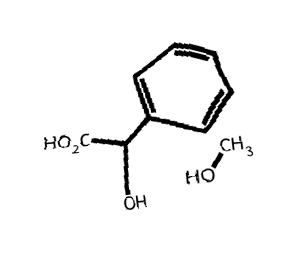 CO.O=C(O)C(O)c1ccccc1